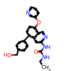 CCNC(=O)Nc1cc2c(-c3ccc(CO)cc3)ccc(Oc3cccnc3)c2cn1